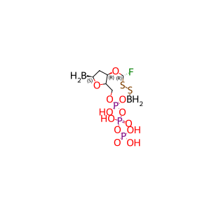 BSS[C@@H](F)O[C@@H]1C[C@H](B)OC1COP(=O)(O)OP(=O)(O)OP(=O)(O)O